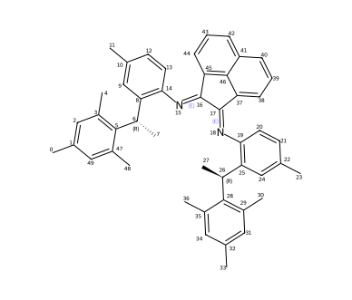 Cc1cc(C)c([C@@H](C)c2cc(C)ccc2/N=C2/C(=N/c3ccc(C)cc3[C@H](C)c3c(C)cc(C)cc3C)c3cccc4cccc2c34)c(C)c1